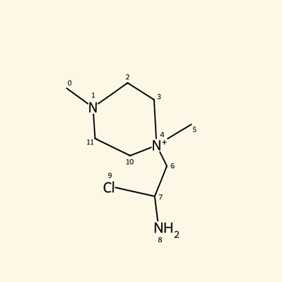 CN1CC[N+](C)(CC(N)Cl)CC1